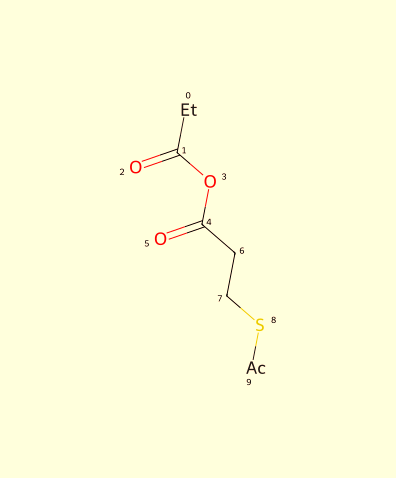 CCC(=O)OC(=O)CCSC(C)=O